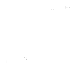 CCCCCCOc1ccc(CCCN(CC)CC(C)F)cc1